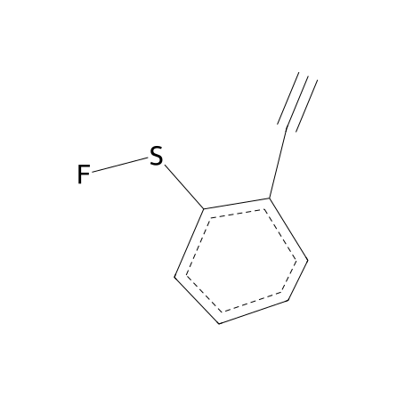 C#Cc1ccccc1SF